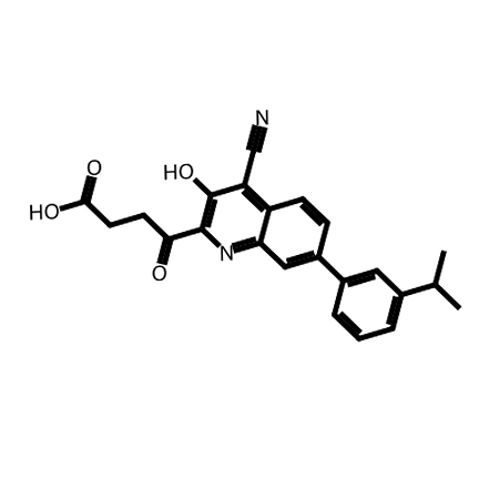 CC(C)c1cccc(-c2ccc3c(C#N)c(O)c(C(=O)CCC(=O)O)nc3c2)c1